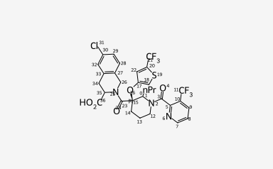 CCCC1N(C(=O)c2ncccc2C(F)(F)F)CCC[C@]1(Oc1csc(C(F)(F)F)c1)C(=O)N1Cc2ccc(Cl)cc2CC1C(=O)O